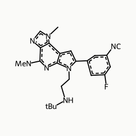 [C-]#[N+]c1cc(F)cc(-c2cc3c4c(ncn4C)c(NC)nc3n2CCNC(C)(C)C)c1